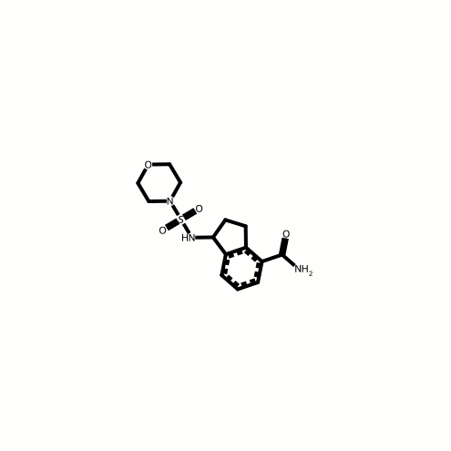 NC(=O)c1cccc2c1CCC2NS(=O)(=O)N1CCOCC1